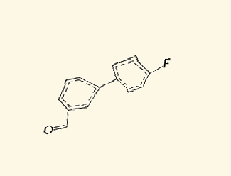 O=Cc1cccc(-c2ccc(F)cc2)c1